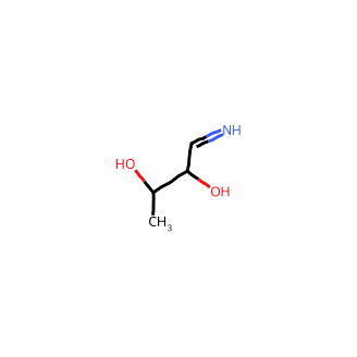 CC(O)C(O)C=N